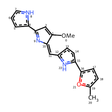 COC1=CC(c2ccc[nH]2)=N/C1=C/c1ccc(-c2ccc(C)o2)[nH]1